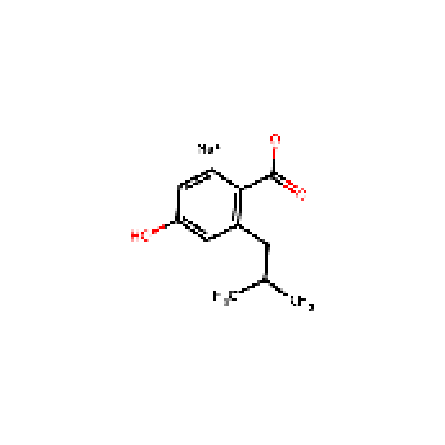 CC(C)Cc1cc(O)ccc1C(=O)[O-].[Na+]